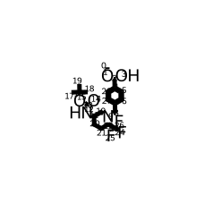 COC(O)c1ccc(CN2CC(NC(=O)OC(C)(C)C)CCC2C(F)(F)F)cc1